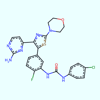 Nc1nccc(-c2nc(N3CCOCC3)sc2-c2ccc(F)c(NC(=O)Nc3ccc(Cl)cc3)c2)n1